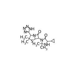 CC1(C)SC2C(N3C(=O)C(C4CC4)NC3(C)C)C(=O)N2C1c1nnn[nH]1